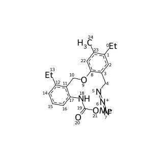 CCc1cc(CN=[N+]=[N-])c(OCc2c(CC)cccc2NC(=O)OC)cc1C